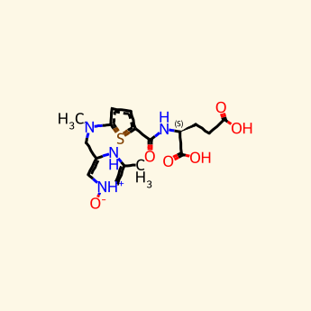 CC1=C[NH+]([O-])C=C(CN(C)c2ccc(C(=O)N[C@@H](CCC(=O)O)C(=O)O)s2)N1